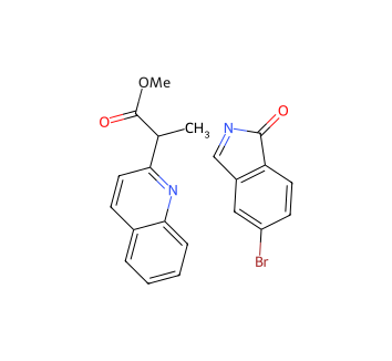 COC(=O)C(C)c1ccc2ccccc2n1.O=C1N=Cc2cc(Br)ccc21